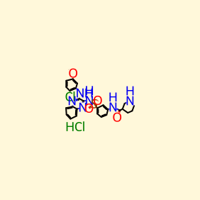 COc1ccc(Cl)c(Nc2nc3ccccc3nc2NS(=O)(=O)c2cccc(NC(=O)C3CCCNC3)c2)c1.Cl